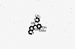 COc1cc([C@@H](Nc2cccc(C)n2)c2ccc3cccnc3c2O)ccc1O